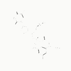 CON(c1cc(Cl)cc(Cl)c1)[C@@H](C)C(=O)OP(N)(=O)OC(ON=[N+]=[N-])[C@@H]1CC[C@H](n2cc(C)c(=O)[nH]c2=O)O1